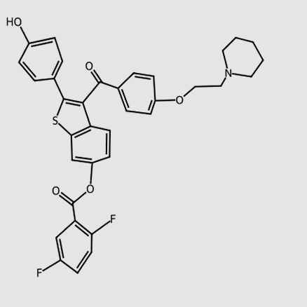 O=C(Oc1ccc2c(C(=O)c3ccc(OCCN4CCCCC4)cc3)c(-c3ccc(O)cc3)sc2c1)c1cc(F)ccc1F